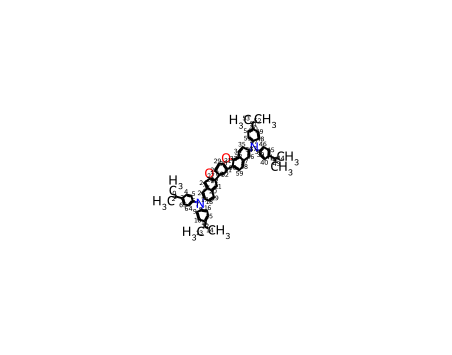 CC(C)c1ccc(N(c2ccc(C(C)C)cc2)c2ccc3cc4c(cc3c2)oc2cc3oc5c6ccc(N(c7ccc(C(C)C)cc7)c7ccc(C(C)C)cc7)cc6ccc5c3cc24)cc1